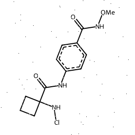 CONC(=O)c1ccc(NC(=O)C2(NCl)CCC2)cc1